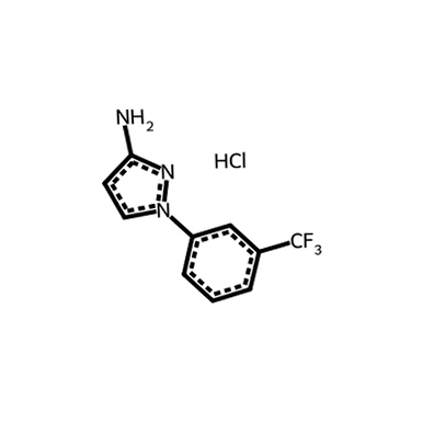 Cl.Nc1ccn(-c2cccc(C(F)(F)F)c2)n1